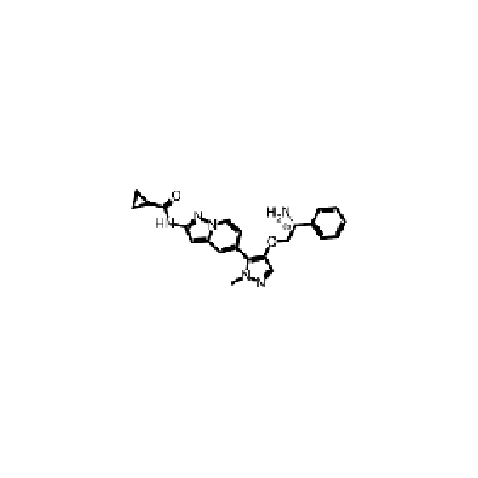 Cn1ncc(OC[C@H](N)c2ccccc2)c1-c1ccn2nc(NC(=O)C3CC3)cc2c1